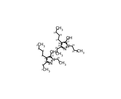 CCCCc1c(CC)nn(CC)c1O.CCCCc1c(CC)nn(CCC)c1O